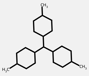 CC1CCC(C(C2CCC(C)CC2)C2CCC(C)CC2)CC1